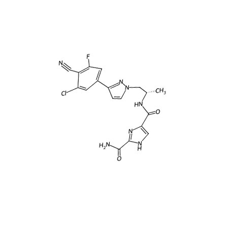 C[C@@H](Cn1ccc(-c2cc(F)c(C#N)c(Cl)c2)n1)NC(=O)c1c[nH]c(C(N)=O)n1